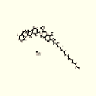 CCCCCCCCCCCCCCOc1ccc(CN(C(C)=O)c2cccc(Cc3[nH]cc4cccc[n+]34)c2)cc1F.[Br-]